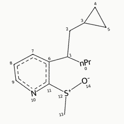 CCCC(CC1CC1)c1cccnc1[S+](C)[O-]